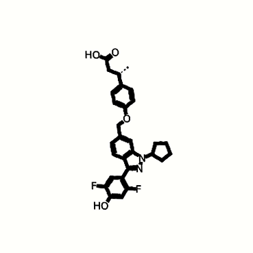 C[C@@H](CC(=O)O)c1ccc(OCc2ccc3c(-c4cc(F)c(O)cc4F)nn(C4CCCC4)c3c2)cc1